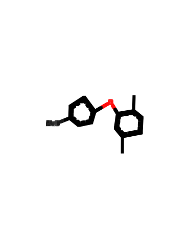 COc1ccc(Oc2cc(C)ccc2C)cc1